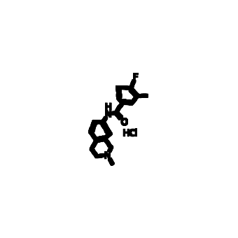 Cc1cc(C(=O)Nc2ccc3c(c2)CN(C)CC3)ccc1F.Cl